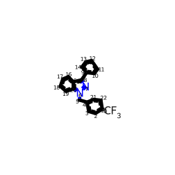 FC(F)(F)c1ccc(Cn2nc(-c3ccccc3)c3ccccc32)cc1